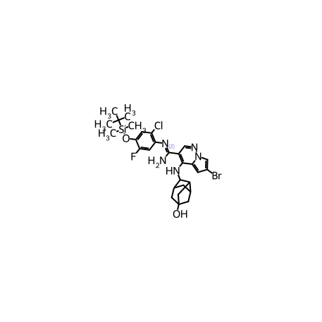 CC(C)(C)[Si](C)(C)Oc1cc(Cl)c(/N=C(\N)c2cnn3cc(Br)cc3c2NC2C3CC4CC(O)(C3)CC42)cc1F